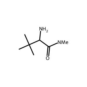 CNC(=O)C(N)C(C)(C)C